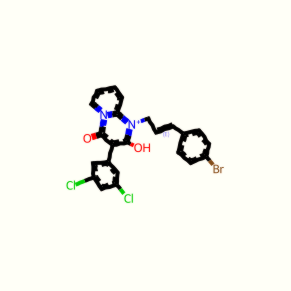 O=c1c(-c2cc(Cl)cc(Cl)c2)c(O)[n+](C/C=C/c2ccc(Br)cc2)c2ccccn12